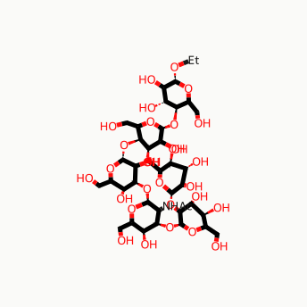 CCO[C@@H]1OC(CO)[C@@H](O[C@@H]2OC(CO)[C@H](O[C@H]3OC(CO)[C@H](O)[C@H](O[C@@H]4OC(CO)[C@H](O)[C@H](O[C@@H]5OC(CO)[C@H](O)[C@H](O)C5O[C@@H]5OC(C)[C@@H](O)[C@H](O)C5O)C4NC(C)=O)C3O)[C@H](O)C2O)[C@H](O)C1O